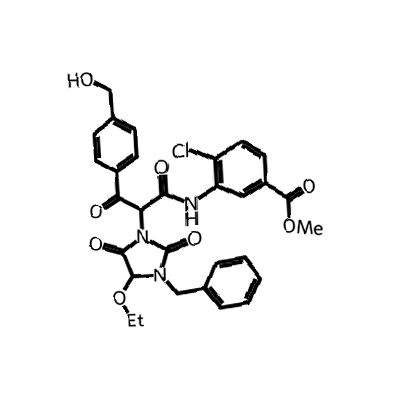 CCOC1C(=O)N(C(C(=O)Nc2cc(C(=O)OC)ccc2Cl)C(=O)c2ccc(CO)cc2)C(=O)N1Cc1ccccc1